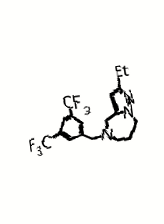 CCc1cc2n(n1)CCCN(Cc1cc(C(F)(F)F)cc(C(F)(F)F)c1)C2